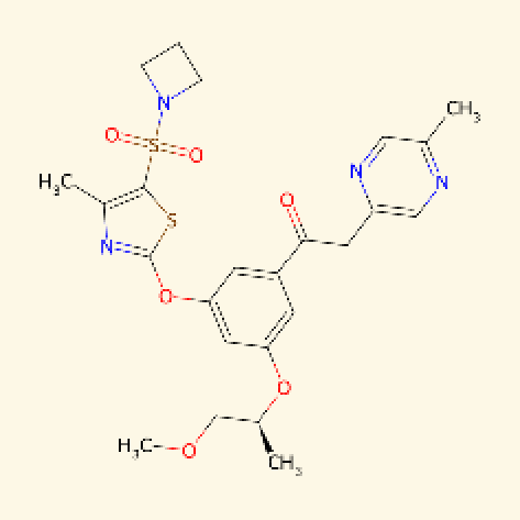 COC[C@H](C)Oc1cc(Oc2nc(C)c(S(=O)(=O)N3CCC3)s2)cc(C(=O)Cc2cnc(C)cn2)c1